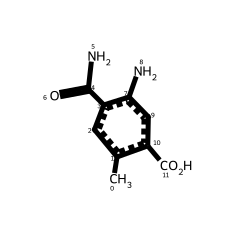 Cc1cc(C(N)=O)c(N)cc1C(=O)O